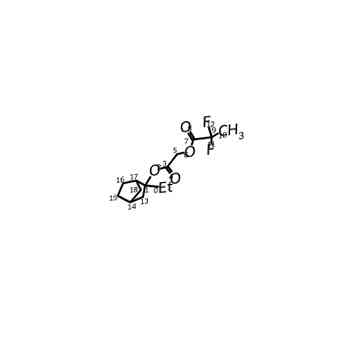 CCC1(OC(=O)COC(=O)C(C)(F)F)CC2CCC1C2